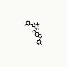 CC(C)(C)n1nc(-c2cccc(F)c2)cc1NC(=O)c1ccc2c(c1)ncn2-c1cccc(F)c1